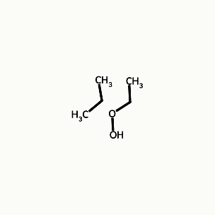 CCC.CCOO